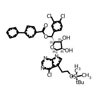 CC(C)(C)[Si](C)(C)OCCc1cn([C@@H]2O[C@H](C(OC(=O)c3ccc(-c4ccccc4)cc3)c3ccc(Cl)c(Cl)c3)[C@@H](O)[C@H]2O)c2ncnc(Cl)c12